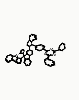 c1ccc(-c2nc(-c3ccccc3)nc(-c3ccc(-c4c(-c5ccc6c(c5)C5(c7ccccc7-6)c6ccccc6-n6c7ccccc7c7cccc5c76)ccc5ccccc45)cc3)n2)cc1